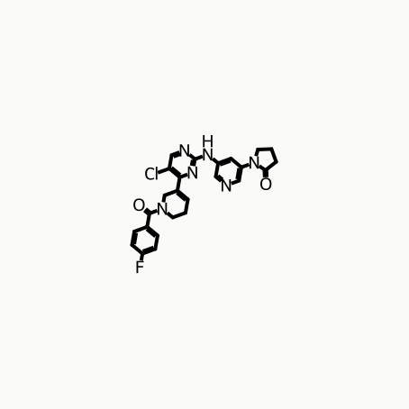 O=C(c1ccc(F)cc1)N1CCC=C(c2nc(Nc3cncc(N4CCCC4=O)c3)ncc2Cl)C1